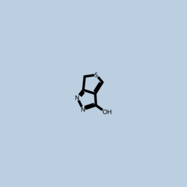 OC1=NN=C2CSC=C12